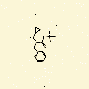 CC(C)(C)OC(=O)N(Cc1ccccc1)CC1CC1